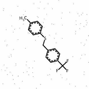 Cc1ccc(SCc2ccc(C(F)(F)F)cc2)cc1